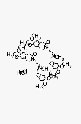 COc1cc2c(cc1OC)CC(=O)N(CCCN(C)C[C@H]1Cc3cc(OC)c(OC)cc31)CC2.COc1cc2c(cc1OC)CC(=O)N(CCCN(C)C[C@H]1Cc3cc(OC)c(OC)cc31)CC2.Cl.Cl